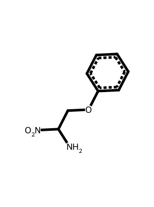 NC(COc1ccccc1)[N+](=O)[O-]